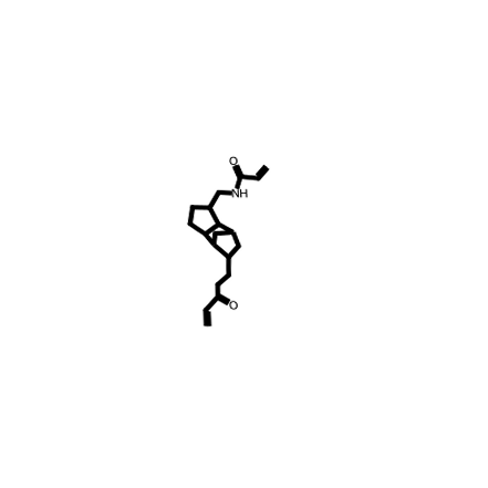 C=CC(=O)CCC1CC2CC1C1CCC(CNC(=O)C=C)C21